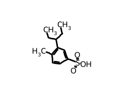 CCC(CC)c1cc(S(=O)(=O)O)ccc1C